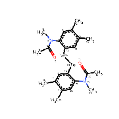 CC(=O)N(C)c1cc(C)c(C)cc1[Te][Te]c1cc(C)c(C)cc1N(C)C(C)=O